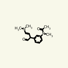 CC(=O)N(C)c1cccc(C(C=O)C=CN(C)C)c1